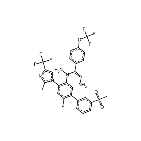 Cc1nc(C(F)(F)F)cn1-c1cc(F)c(-c2cccc(S(C)(=O)=O)c2)cc1N(N)/C(=C\N)c1ccc(OC(F)(F)F)cc1